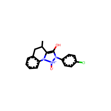 CC1Cc2ccccc2N2C1=C(O)N(c1ccc(Cl)cc1)[NH+]2[O-]